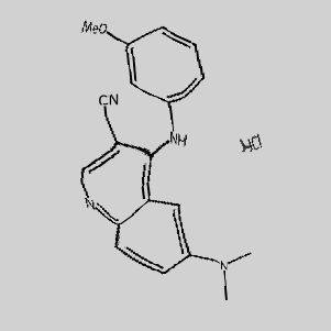 COc1cccc(Nc2c(C#N)cnc3ccc(N(C)C)cc23)c1.Cl